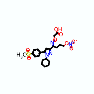 CS(=O)(=O)c1ccc(-c2cc(C(CCCO[N+](=O)[O-])=NOCC(=O)O)nn2C2CCCCC2)cc1